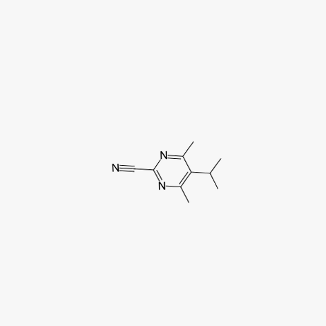 Cc1nc(C#N)nc(C)c1C(C)C